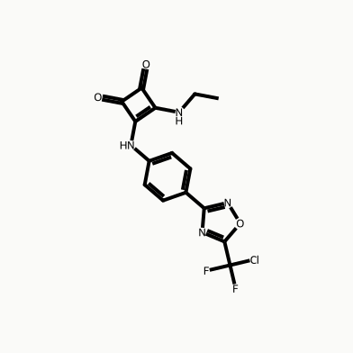 CCNc1c(Nc2ccc(-c3noc(C(F)(F)Cl)n3)cc2)c(=O)c1=O